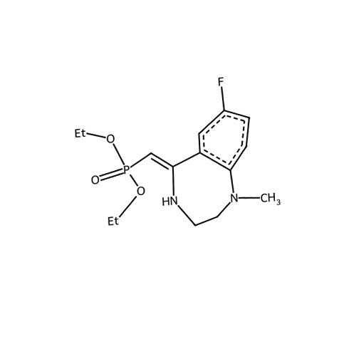 CCOP(=O)(C=C1NCCN(C)c2ccc(F)cc21)OCC